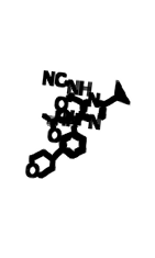 C[C@@H](O)Oc1c(Nc2ncc(C3CC3)nc2C(=O)NC#N)cccc1C1CCOCC1